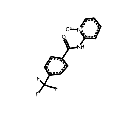 O=C(Nc1cccc[n+]1[O-])c1ccc(C(F)(F)F)cc1